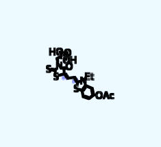 CCN1/C(=C/C=C2/SC(=S)N(CP(=O)(O)O)C2=O)Sc2ccc(OC(C)=O)cc21